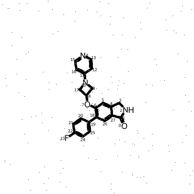 O=C1NCc2cc(OC3CN(c4ccncc4)C3)c(-c3ccc(F)cc3)cc21